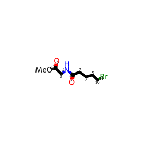 COC(=O)CNC(=O)CCCCBr